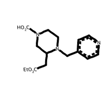 CCOC(=O)CC1CN(C(=O)O)CCN1Cc1ccncc1